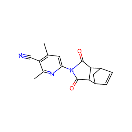 Cc1cc(N2C(=O)C3C4C=CC(C4)C3C2=O)nc(C)c1C#N